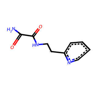 NC(=O)C(=O)NC[CH]c1ccccn1